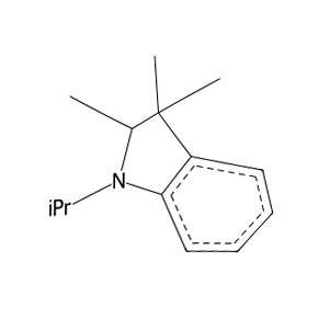 CC(C)N1c2ccccc2C(C)(C)C1C